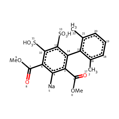 COC(=O)c1[c]([Na])c(C(=O)OC)c(S(=O)(=O)O)c(S(=O)(=O)O)c1-c1c(C)cccc1C